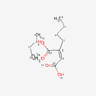 CCCC.CCCC/C(=C/C(=O)O)C(=O)O